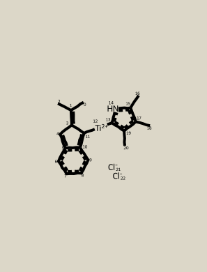 CC(C)=C1C=c2ccccc2=[C]1[Ti+2][c]1[nH]c(C)c(C)c1C.[Cl-].[Cl-]